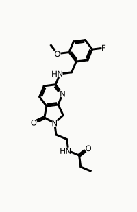 CCC(=O)NCCN1Cc2nc(NCc3cc(F)ccc3OC)ccc2C1=O